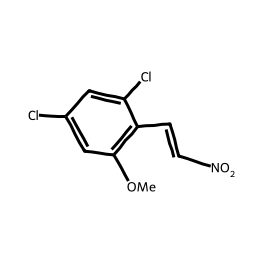 COc1cc(Cl)cc(Cl)c1C=C[N+](=O)[O-]